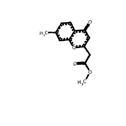 COC(=O)Cc1cc(=O)c2ccc(C)cc2o1